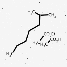 CC(=O)O.CCCCCC(C)C.CCOC(C)=O